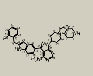 CC(C)C[N+]1(C2CCNCC2)CCC(n2nc(-c3ccc4[nH]c(Cc5ccccc5F)cc4c3)c3c(N)ncnc32)CC1